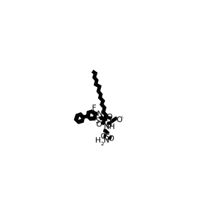 CCCCCCCCCCCCCCC(C(=O)NCCS(N)(=O)=O)(c1nc2c(F)cc(-c3ccccc3)cc2s1)S(=O)(=O)CCOC